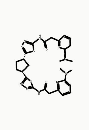 CN(C)c1cccc(CC(=O)Nc2nnc([C@H]3CC[C@H](c4nnc(NC(=O)CC5=NC(N(C)C)CC=C5)s4)C3)s2)n1